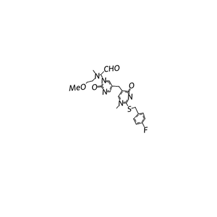 COCCN(C)C(C=O)n1cc(Cc2cn(C)c(SCc3ccc(F)cc3)nc2=O)cnc1=O